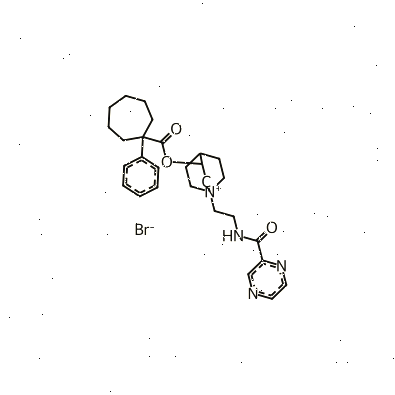 O=C(NCC[N+]12CCC(CC1)C(OC(=O)C1(c3ccccc3)CCCCCC1)C2)c1cnccn1.[Br-]